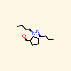 CCCC=NN=CCCC.O=CC1CCCC1